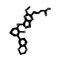 COc1nc2c(Nc3cccc(-c4ccc5c(c4)OCCO5)c3Cl)nsc2nc1C=NCC(=O)O